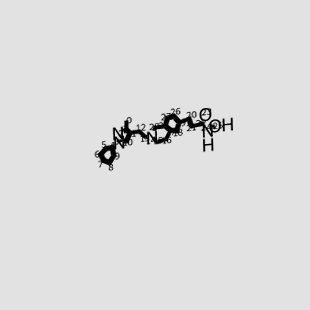 Cc1nn(-c2ccccc2)cc1CCN1CCc2cc(C=CC(=O)NO)ccc2C1